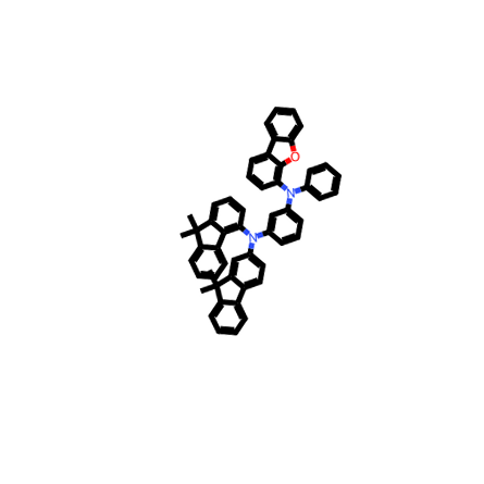 CC1(C)c2ccccc2-c2ccc(N(c3cccc(N(c4ccccc4)c4cccc5c4oc4ccccc45)c3)c3cccc4c3-c3ccccc3C4(C)C)cc21